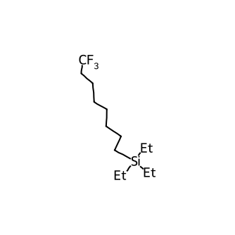 CC[Si](CC)(CC)CCCCCCCC(F)(F)F